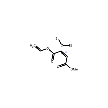 C=COC(=O)/C=C\C(=O)OC.CCOCC